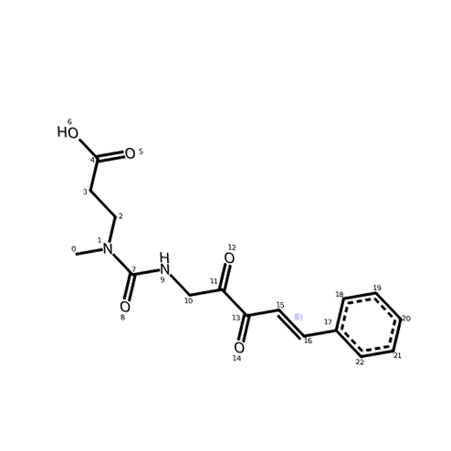 CN(CCC(=O)O)C(=O)NCC(=O)C(=O)/C=C/c1ccccc1